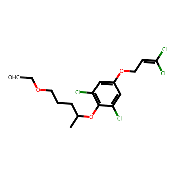 CC(CCCOCC=O)Oc1c(Cl)cc(OCC=C(Cl)Cl)cc1Cl